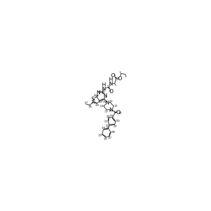 CCOC(=O)CNC(=O)Nc1nc(N2CCN(C(=O)c3ccc(-c4ccccc4)cc3)CC2)c2cc(CC)sc2n1